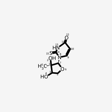 C[C@@]1(O)C(O)CO[C@H]1n1ccc(=O)[nH]c1=S